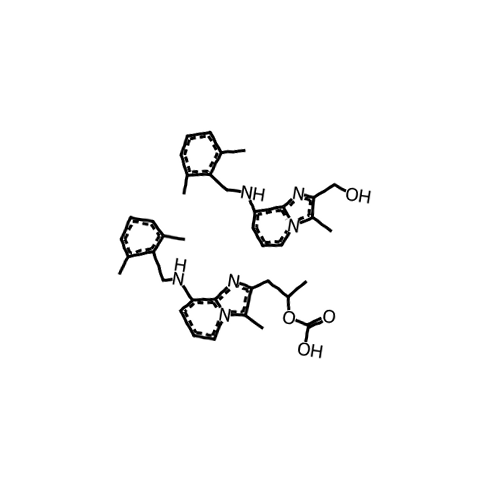 Cc1cccc(C)c1CNc1cccn2c(C)c(CC(C)OC(=O)O)nc12.Cc1cccc(C)c1CNc1cccn2c(C)c(CO)nc12